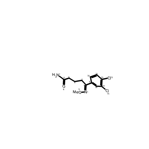 CON=C(CCCC(N)=O)c1ccc(Cl)c(Cl)c1